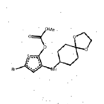 COC(=O)Oc1sc(Br)cc1NC1CCC2(CC1)OCCO2